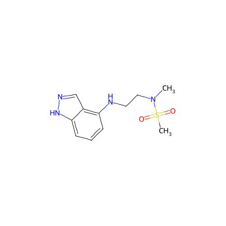 CN(CCNc1cccc2[nH]ncc12)S(C)(=O)=O